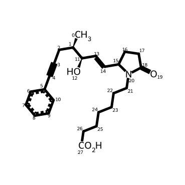 C[C@H](CC#Cc1ccccc1)[C@H](O)/C=C/C1CCC(=O)N1CCCCCCC(=O)O